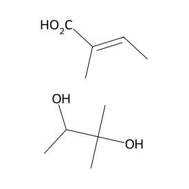 CC(O)C(C)(C)O.CC=C(C)C(=O)O